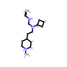 C=CNCN(CCC1CCN(C)CC1)C1CCC1